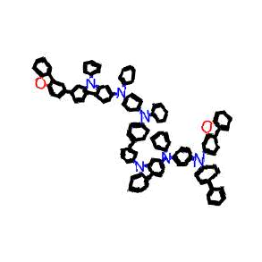 C1=CCCC(N(C2=CCC(N(C3=CCCC=C3)C3=CC=C(c4cccc(-n5c6ccccc6c6ccc(N(c7ccccc7)c7ccc(N(C8=CCC9C(=C8)Oc8ccccc89)C8=CC=C(c9ccccc9)CC8)cc7)cc65)c4)CC3)C=C2)C2=CC3C(C=C2)c2ccc(-c4ccc5oc6ccccc6c5c4)cc2N3c2ccccc2)=C1